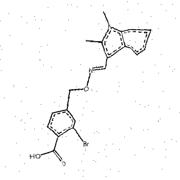 Cc1c(/C=N/OCc2ccc(C(=O)O)c(Br)c2)c2ccccc2n1C